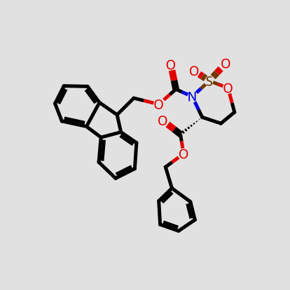 O=C(OCc1ccccc1)[C@H]1CCOS(=O)(=O)N1C(=O)OCC1c2ccccc2-c2ccccc21